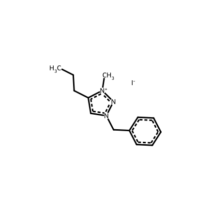 CCCc1cn(Cc2ccccc2)n[n+]1C.[I-]